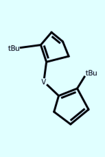 CC(C)(C)C1=[C]([V][C]2=C(C(C)(C)C)C=CC2)CC=C1